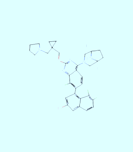 Oc1cc(-c2ccc3c(N4C[C@H]5CC[C@@H](C4)N5)nc(OCC4(CN5CCCC5)CC4)nc3c2F)c2c(F)c(F)ccc2c1